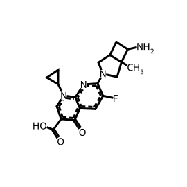 CC12CN(c3nc4c(cc3F)c(=O)c(C(=O)O)cn4C3CC3)CC1CC2N